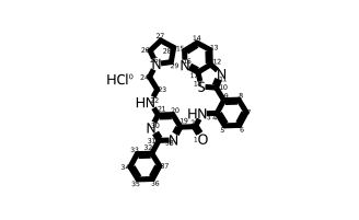 Cl.O=C(Nc1ccccc1-c1nc2cccnc2s1)c1cc(NCCN2CCCC2)nc(-c2ccccc2)n1